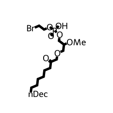 CCCCCCCCCCCCCCCCC(=O)COCC(COP(=O)(O)OCCBr)OC